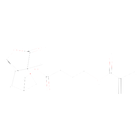 C=C(C)C(=O)OCCCC(=O)OC1C2CC3C1OC(=O)C3(C)C2